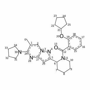 Cc1cn2nc(C3CCCCN3C(=O)c3ccccc3OC3CCCC3)cc2nc1N1CCCC1